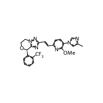 COc1nc(/C=C/c2nc3n(n2)CCO[C@@H]3c2ccccc2C(F)(F)F)ccc1-n1cnc(C)c1